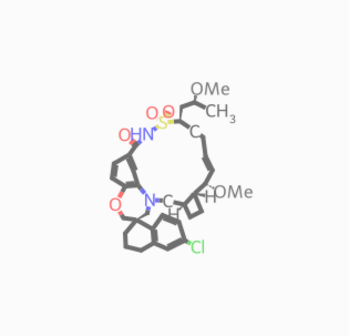 CO[C@H]1/C=C/CC[C@H](C[C@H](C)OC)S(=O)(=O)NC(=O)c2ccc3c(c2)N(C[C@@H]2CC[C@H]21)C[C@@]1(CCCc2cc(Cl)ccc21)CO3